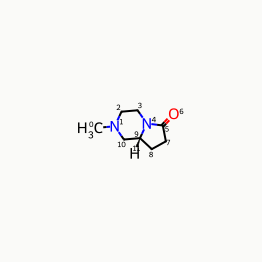 CN1CCN2C(=O)CC[C@@H]2C1